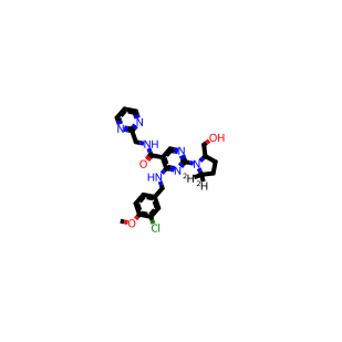 [2H]C1([2H])CCC(CO)N1c1ncc(C(=O)NCc2ncccn2)c(NCc2ccc(OC)c(Cl)c2)n1